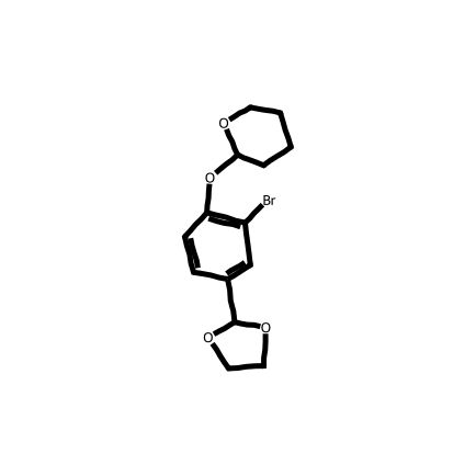 Brc1cc(C2OCCO2)ccc1OC1CCCCO1